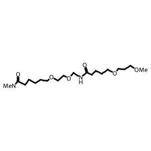 CNC(=O)CCCCCOCCOCNC(=O)CCCCOCCCOC